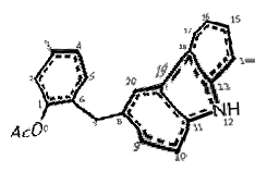 CC(=O)Oc1ccccc1Cc1ccc2[nH]c3ccccc3c2c1